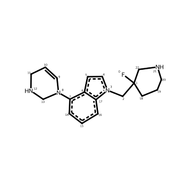 FC1(Cn2ccc3c(N4C=CCNC4)cccc32)CCCNC1